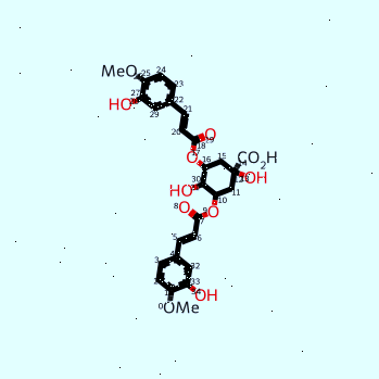 COc1ccc(/C=C/C(=O)OC2CC(O)(C(=O)O)CC(OC(=O)/C=C/c3ccc(OC)c(O)c3)C2O)cc1O